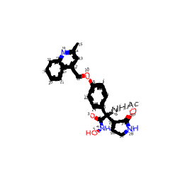 CC(=O)NC(C(=O)NO)(c1ccc(OCc2cc(C)nc3ccccc23)cc1)C1CCNC1=O